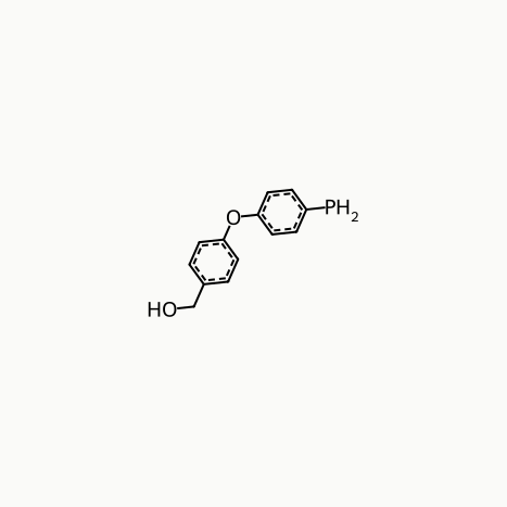 OCc1ccc(Oc2ccc(P)cc2)cc1